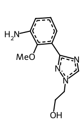 COc1c(N)cccc1-c1ncn(CCO)n1